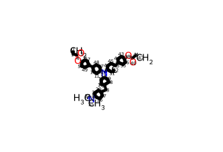 C=CC(=O)Oc1ccc(-c2ccc(N(c3ccc(Cc4ccc(N(C)C)cc4)cc3)c3ccc(-c4ccc(OC(=O)C=C)cc4)cc3)cc2)cc1